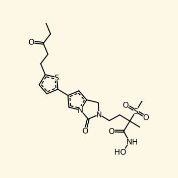 CCC(=O)CCc1ccc(-c2cc3n(c2)C(=O)N(CCC(C)(C(=O)NO)S(C)(=O)=O)C3)s1